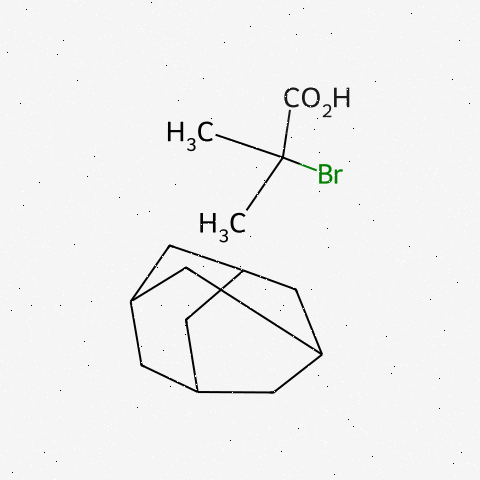 C1C2CC3CC1CC(C2)C3.CC(C)(Br)C(=O)O